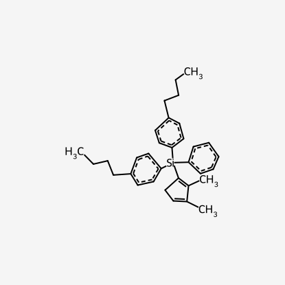 CCCCc1ccc([Si](C2=C(C)C(C)=CC2)(c2ccccc2)c2ccc(CCCC)cc2)cc1